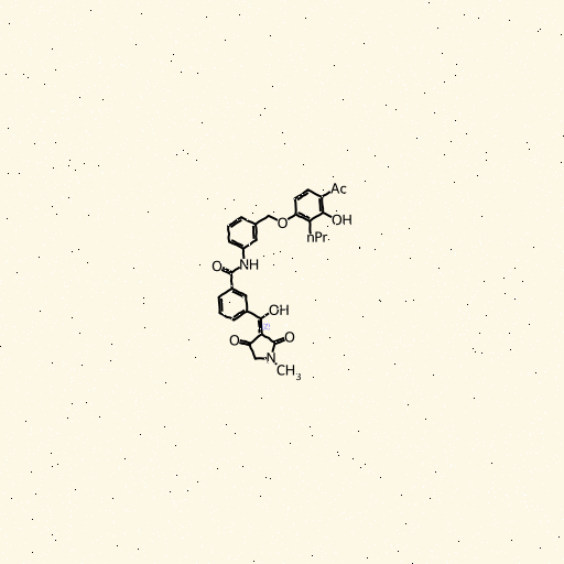 CCCc1c(OCc2cccc(NC(=O)c3cccc(/C(O)=C4\C(=O)CN(C)C4=O)c3)c2)ccc(C(C)=O)c1O